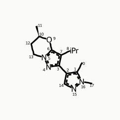 Cc1c(-c2nn3c(c2C(C)C)O[C@H](C)CC3)cnn1C